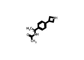 CC(=O)N[C@@H](C)c1ccc(C2CNC2)cc1